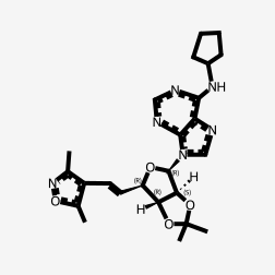 Cc1noc(C)c1C=C[C@H]1O[C@@H](n2cnc3c(NC4CCCC4)ncnc32)[C@H]2OC(C)(C)O[C@@H]21